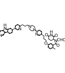 Cc1ccc(OCCCc2ccc(N3CCN(CCCc4ccc(-c5ccc6c(c5)[nH]c5ccncc56)cn4)CC3)nc2)cc1C(=O)N(C=O)C1CCC(=O)NC1=O